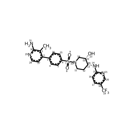 Cc1c(-c2ccc(S(=O)(=O)N3CC[C@@H](Nc4ccc(C(F)(F)F)cn4)[C@@H](O)C3)cc2)ccnc1N